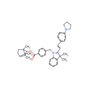 CC1(C)C(/C=C/c2ccc(N3CCCC3)cc2)=[N+](Cc2ccc(C(=O)OC3CC4CCC3(C)C4(C)C)cc2)c2ccccc21